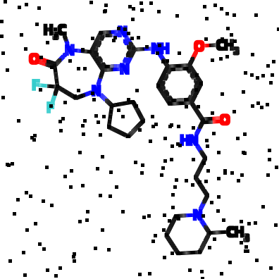 COc1cc(C(=O)NCCCN2CCCCC2C)ccc1Nc1ncc2c(n1)N(C1CCCC1)CC(F)(F)C(=O)N2C